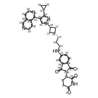 O=C1CCC(N2C(=O)c3ccc(NCCC[C@H]4C[C@H](n5cc(-c6nccc7cnccc67)c(C6CC6)n5)C4)cc3C2=O)C(=O)N1